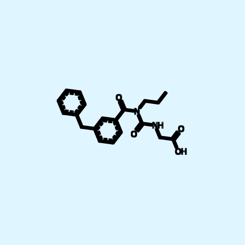 CCCN(C(=O)NCC(=O)O)C(=O)c1cccc(Cc2ccccc2)c1